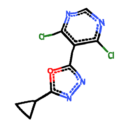 Clc1ncnc(Cl)c1-c1nnc(C2CC2)o1